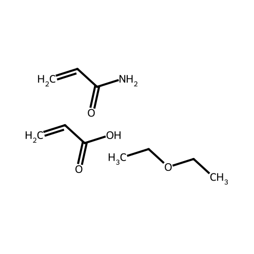 C=CC(=O)O.C=CC(N)=O.CCOCC